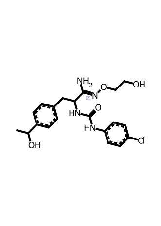 CC(O)c1ccc(CC(NC(=O)Nc2ccc(Cl)cc2)/C(N)=N/OCCO)cc1